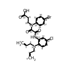 C=CCN(CC=C)c1ccc(Cl)cc1NC(=O)C(=O)N(CCC(=O)O)c1ccc(Br)cc1